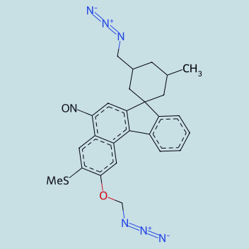 CSc1cc2c(N=O)cc3c(c2cc1OCN=[N+]=[N-])-c1ccccc1C31CC(C)CC(CN=[N+]=[N-])C1